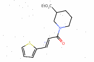 CCOC(=O)C1CCCN(C(=O)/C=C/c2cccs2)C1